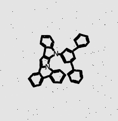 c1ccc(-c2cc(-c3ccccc3)cc(-n3c4ccccc4c4cc5c6ccccc6c6ccccc6n5c43)c2)cc1